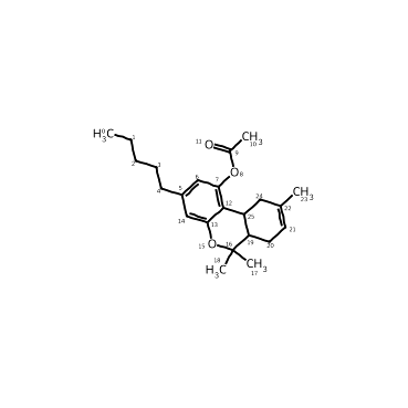 CCCCCc1cc(OC(C)=O)c2c(c1)OC(C)(C)C1CC=C(C)CC21